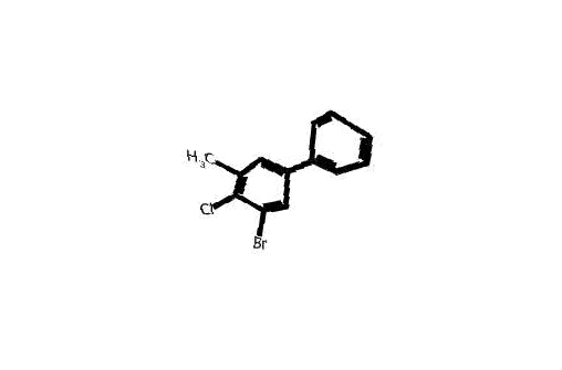 Cc1cc(-c2ccccc2)cc(Br)c1Cl